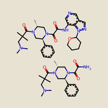 C[C@@H]1CN(C(=O)C(=O)Nc2cncc3cnn(C4CCCCO4)c23)[C@@H](c2ccccc2)CN1C(=O)C(C)(C)CN(C)C.C[C@@H]1CN(C(=O)C(N)=O)[C@@H](c2ccccc2)CN1C(=O)C(C)(C)CN(C)C